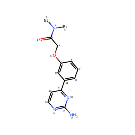 CCN(CC)C(=O)COc1[c]ccc(-c2ccnc(N)n2)c1